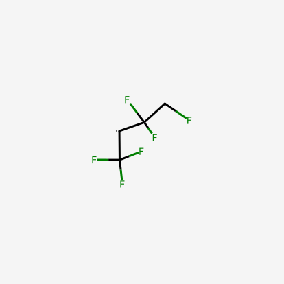 FCC(F)(F)[CH]C(F)(F)F